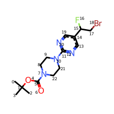 CC(C)(C)OC(=O)N1CCN(c2ncc(C(F)CBr)cn2)CC1